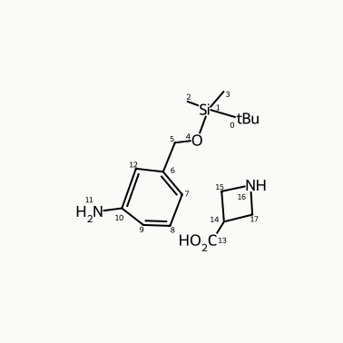 CC(C)(C)[Si](C)(C)OCc1cccc(N)c1.O=C(O)C1CNC1